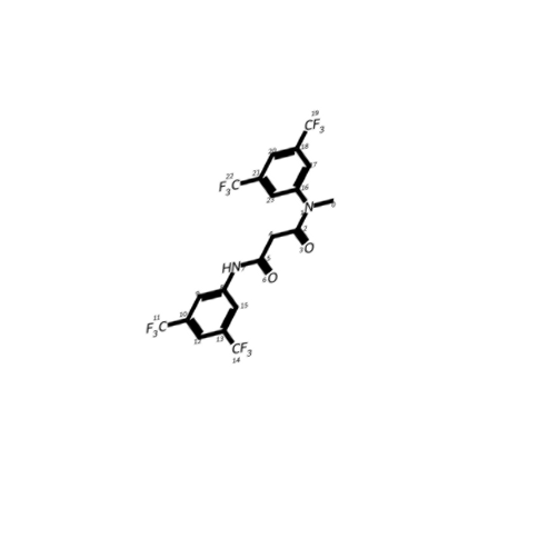 CN(C(=O)CC(=O)Nc1cc(C(F)(F)F)cc(C(F)(F)F)c1)c1cc(C(F)(F)F)cc(C(F)(F)F)c1